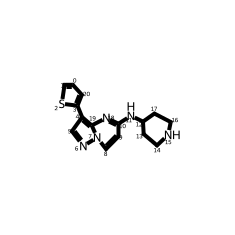 c1csc(-c2cnn3ccc(NC4CCNCC4)nc23)c1